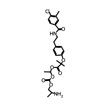 Cc1cc(C(=O)NCCc2ccc(OC(C)(C)C(=O)OC(C)OC(=O)OCC(C)N)cc2)ccc1Cl